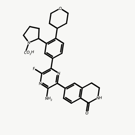 Nc1nc(F)c(-c2ccc(C3CCOCC3)c(C3CCCN3C(=O)O)c2)nc1-c1ccc2c(c1)CCNC2=O